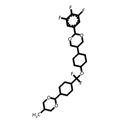 CC1COC(C2CCC(C(F)(F)OC3CCC(C4COC(c5cc(F)c(F)c(F)c5)OC4)CC3)CC2)OC1